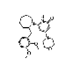 COc1cccc(CC2CCCCCN2c2cc(N3CCOCC3)cc(=O)[nH]2)c1OC